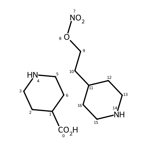 O=C(O)C1CCNCC1.O=[N+]([O-])OCCC1CCNCC1